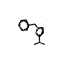 CC(C)c1ccn(Cc2ccccc2)n1